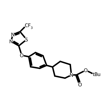 CC(C)(C)OC(=O)N1CCC(c2ccc(Oc3nnc(C(F)(F)F)s3)cc2)CC1